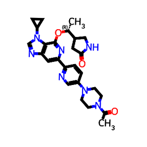 CC(=O)N1CCN(c2ccc(-c3cc4ncn(C5CC5)c4c(O[C@H](C)C4CNC(=O)C4)n3)nc2)CC1